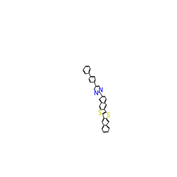 c1ccc(-c2ccc(-c3cnc(-c4ccc5cc6c(cc5c4)sc4c5cc7ccccc7cc5sc64)nc3)cc2)cc1